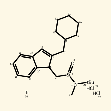 CN([Si](=O)CC1C(CC2CCCCC2)=Cc2ccccc21)C(C)(C)C.Cl.Cl.[Ti]